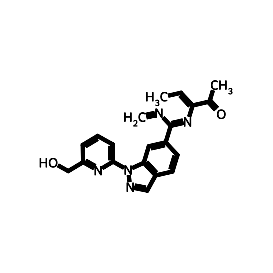 C=N/C(=N\C(=C/C)C(C)=O)c1ccc2cnn(-c3cccc(CO)n3)c2c1